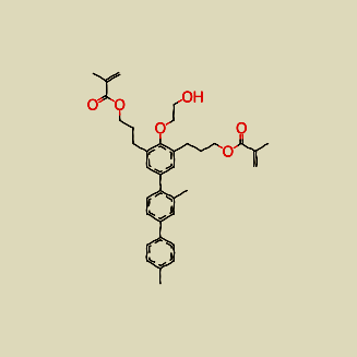 C=C(C)C(=O)OCCCc1cc(-c2ccc(-c3ccc(C)cc3)cc2C)cc(CCCOC(=O)C(=C)C)c1OCCO